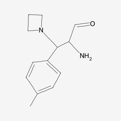 Cc1ccc(C(C(N)C=O)N2CCC2)cc1